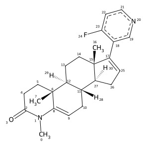 CN1C(=O)CC[C@@]2(C)C1=CC[C@@H]1[C@@H]2CC[C@]2(C)C(c3cnccc3F)=CC[C@@H]12